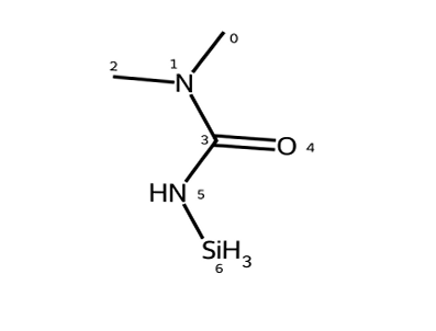 CN(C)C(=O)N[SiH3]